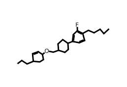 CCCCCc1ccc(C2CCC(COC3C=CC(CCC)CC3)CC2)cc1F